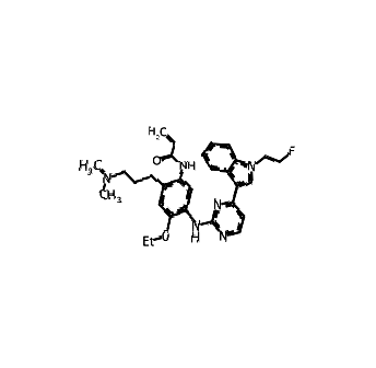 C=CC(=O)Nc1cc(Nc2nccc(-c3cn(CCF)c4ccccc34)n2)c(OCC)cc1CCCN(C)C